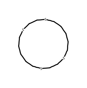 C1CCSCCSCCCCCSCCSCC1